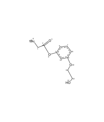 CC(C)(C)CC(=O)Oc1cccc(OCCO)c1